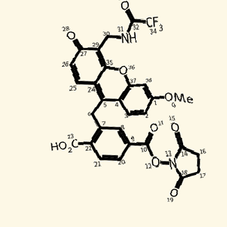 COc1ccc2c(Cc3cc(C(=O)ON4C(=O)CCC4=O)ccc3C(=O)O)c3ccc(=O)c(CNC(=O)C(F)(F)F)c-3oc2c1